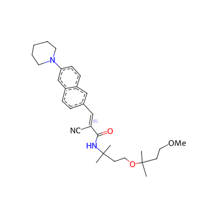 COCCC(C)(C)OCCC(C)(C)NC(=O)/C(C#N)=C/c1ccc2cc(N3CCCCC3)ccc2c1